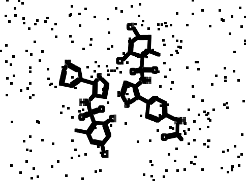 CC(=O)Nc1ccc(-c2sccc2NS(=O)(=O)c2c(C)cc(Cl)cc2Cl)cc1.Cc1cc(Cl)cc(Cl)c1S(=O)(=O)Nc1ccsc1-c1cccnc1